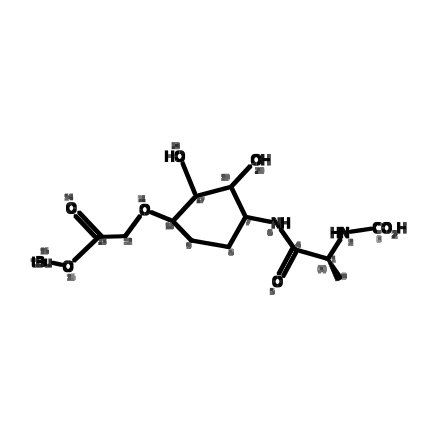 C[C@H](NC(=O)O)C(=O)NC1CCC(OCC(=O)OC(C)(C)C)C(O)C1O